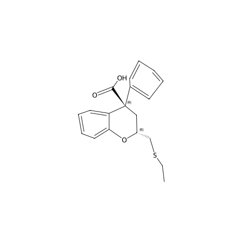 CCSC[C@H]1C[C@@](C(=O)O)(c2ccccc2)c2ccccc2O1